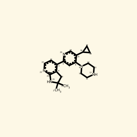 CC1(C)Cc2c(-c3cc(N4CCNCC4)c(C4CC4)cn3)ccnc2N1